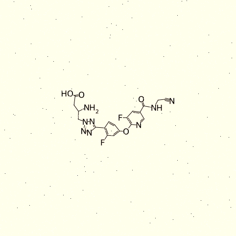 N#CCNC(=O)c1cnc(Oc2ccc(-c3nnn(CC(N)CC(=O)O)n3)c(F)c2)c(F)c1